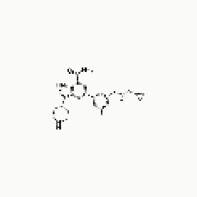 NC(=O)c1cc(-c2cc(F)cc(CNCC3CC3)c2)cc2c(C3CCNCC3)c[nH]c12